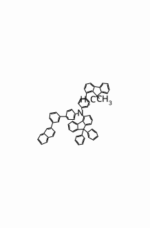 CC1(C)c2ccccc2-c2cccc(-c3ccc(N(c4ccc(-c5cccc(-c6ccc7ccccc7c6)c5)cc4)c4cccc5c4-c4ccccc4C5(c4ccccc4)c4ccccc4)cc3)c21